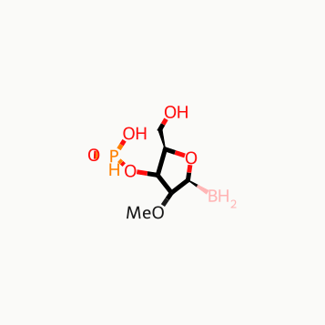 B[C@@H]1O[C@H](CO)C(O[PH](=O)O)C1OC